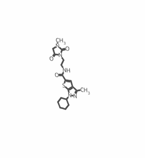 Cc1nn(C2CCCCC2)c2sc(C(=O)NCCN3C(=O)CN(C)C3=O)cc12